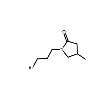 CC(=O)CCCN1CC(C)CC1=O